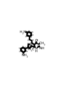 CN1C(=N)N[C@](C)(c2cc(-c3cccc(N)c3)cs2)C(CCCc2cccc(N)c2)C1=O